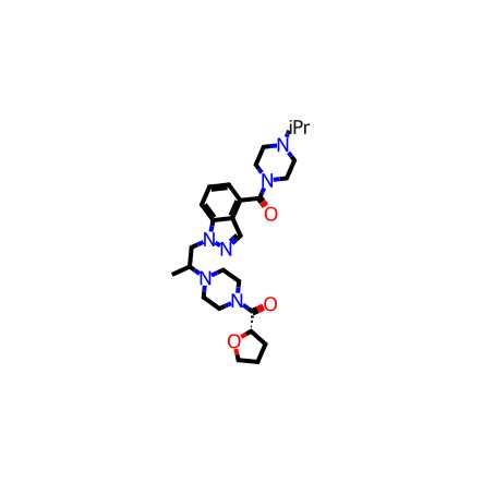 CC(C)N1CCN(C(=O)c2cccc3c2cnn3CC(C)N2CCN(C(=O)[C@@H]3CCCO3)CC2)CC1